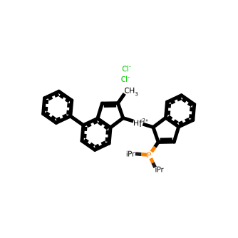 CC1=Cc2c(-c3ccccc3)cccc2[CH]1[Hf+2][CH]1C(P(C(C)C)C(C)C)=Cc2ccccc21.[Cl-].[Cl-]